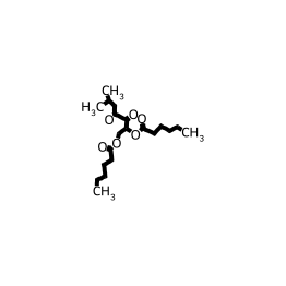 CCCCCC(=O)OCC(OC(=O)CCCCC)C(=O)C(=O)CC(C)C